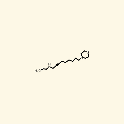 CCCNCC#CCC[CH]CCCN1CCOCC1